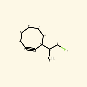 CC(CF)C1C#CCCCCC1